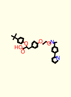 CC(=NOCCOc1ccc(CC(Oc2ccc(C(C)(C)C)cc2)C(=O)O)cc1)c1ccc(-c2ccccn2)cc1